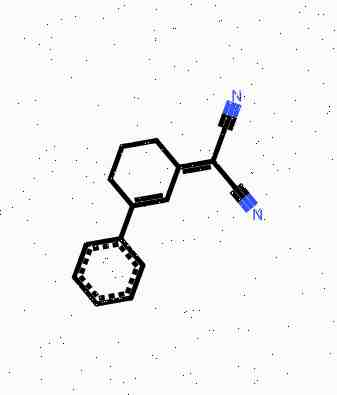 N#CC(C#N)=C1C=C(c2ccccc2)CCC1